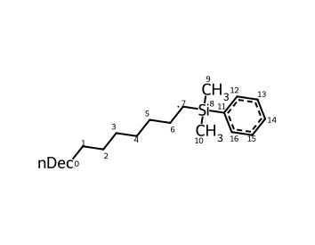 CCCCCCCCCCCCCCCC[CH][Si](C)(C)c1ccccc1